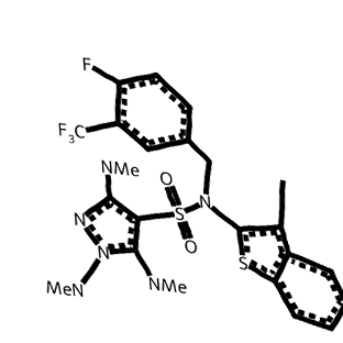 CNc1nn(NC)c(NC)c1S(=O)(=O)N(Cc1ccc(F)c(C(F)(F)F)c1)c1sc2ccccc2c1C